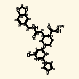 CCCNC(=O)N1CCN(c2cc(Cl)nc(-n3ccnc3)n2)CC1CC(=O)NCc1ccc2c(c1)OCO2